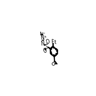 CCc1ccc(C2CO2)cc1S(=O)(=O)N=[N+]=[N-]